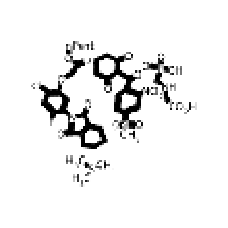 CCCCCOC(=O)COc1cc(N2C(=O)C3=C(CCCC3)C2=O)c(F)cc1Cl.CS(=O)(=O)c1ccc(C(=O)C2C(=O)CCCC2=O)c([N+](=O)[O-])c1.C[S+](C)C.O=C(O)CNCP(=O)([O-])O